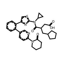 O=C(O)CC(CC1CCCC1)C(=O)N(c1nc(-c2ccccc2-c2ccc(N3CCCCC3=O)nc2)cs1)C1CC1